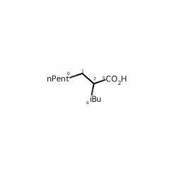 CCCCCCC(C(=O)O)C(C)CC